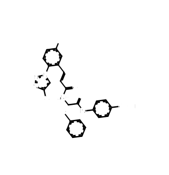 O=C(C=Cc1cc(Cl)ccc1-n1cc(C(=O)O)nn1)N[C@@H](Cc1ccccc1)C(=O)Nc1ccc(C(=O)O)cc1